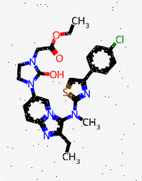 CCOC(=O)CN1CCN(c2ccc3nc(CC)c(N(C)c4nc(-c5ccc(Cl)cc5)cs4)n3c2)C1O